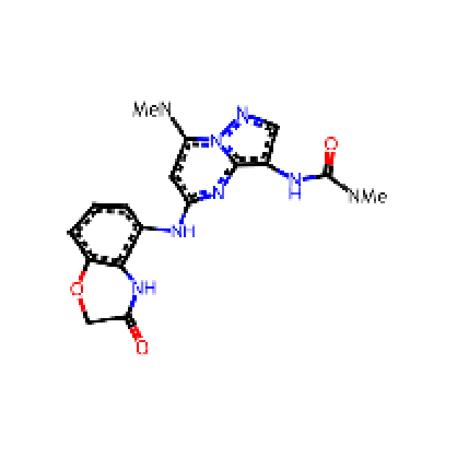 CNC(=O)Nc1cnn2c(NC)cc(Nc3cccc4c3NC(=O)CO4)nc12